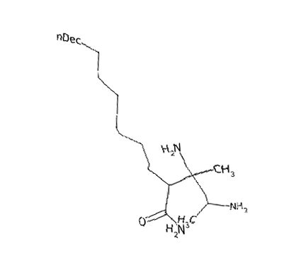 CCCCCCCCCCCCCCCCC(C(N)=O)C(C)(N)C(C)N